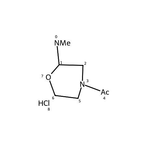 CNC1CN(C(C)=O)CCO1.Cl